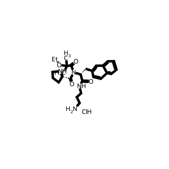 CCOC(C)(C)C(=O)N(C(=O)[C@@H]1CCCN1)[C@H](Cc1ccc2ccccc2c1)C(=O)NCCCN.Cl